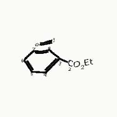 C=C.CCOC(=O)c1ccccc1